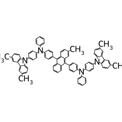 Cc1ccc2c(-c3ccc(N(c4ccccc4)c4ccc(-n5c6ccc(C)cc6c6cc(C)ccc65)cc4)cc3)c3ccccc3c(-c3ccc(N(c4ccccc4)c4ccc(-n5c6ccc(C)cc6c6cc(C)ccc65)cc4)cc3)c2c1